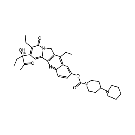 CCc1c([C@@](O)(CC)C(C)=O)cc2n(c1=O)Cc1c-2nc2ccc(OC(=O)N3CCC(N4CCCCC4)CC3)cc2c1CC